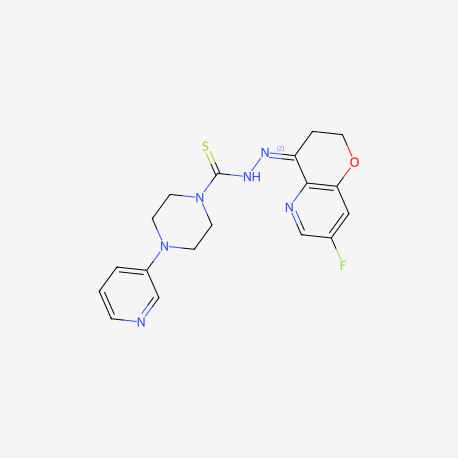 Fc1cnc2c(c1)OCC/C2=N/NC(=S)N1CCN(c2cccnc2)CC1